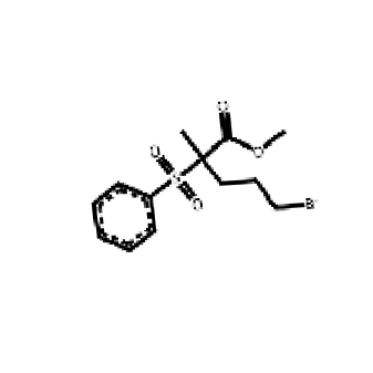 COC(=O)C(C)(CCCBr)S(=O)(=O)c1ccccc1